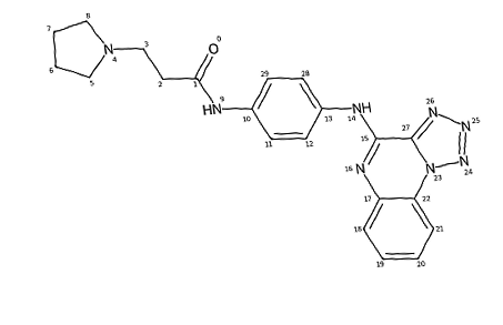 O=C(CCN1CCCC1)Nc1ccc(Nc2nc3ccccc3n3nnnc23)cc1